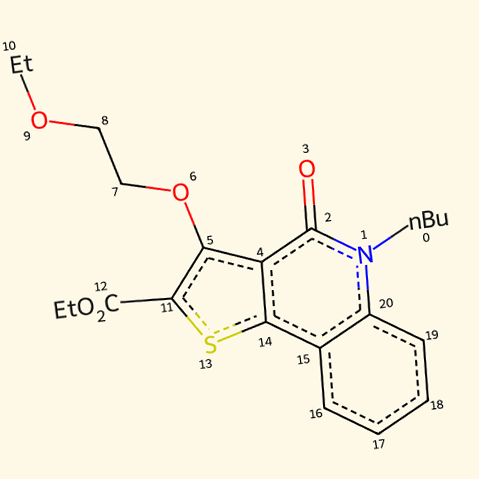 CCCCn1c(=O)c2c(OCCOCC)c(C(=O)OCC)sc2c2ccccc21